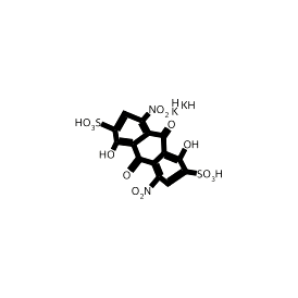 O=C1c2c([N+](=O)[O-])cc(S(=O)(=O)O)c(O)c2C(=O)c2c([N+](=O)[O-])cc(S(=O)(=O)O)c(O)c21.[KH].[KH]